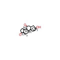 C[C@]12C=C[C@@H](O)CC1CC(=O)[C@@H]1[C@@H]2CC[C@]2(C)C(=O)CC[C@@H]12